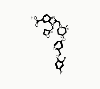 C[C@H]1C[C@@H](Oc2ccnc(COc3ccc(F)cc3F)c2)CCN1Cc1nc2ccc(C(=O)O)cc2n1C[C@@H]1CCO1